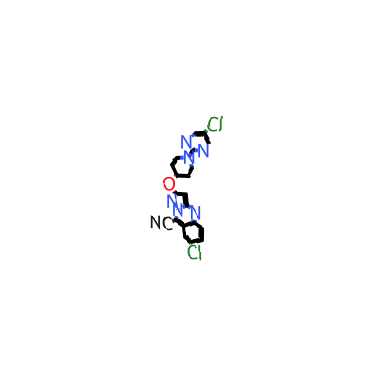 N#Cc1c2cc(Cl)ccc2nc2cc(OC3CCN(c4ncc(Cl)cn4)CC3)nn12